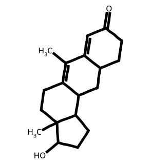 CC1=C2CCC3(C)C(O)CCC3C2CC2CCC(=O)C=C12